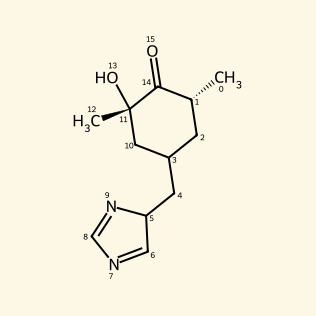 C[C@@H]1CC(CC2C=NC=N2)C[C@](C)(O)C1=O